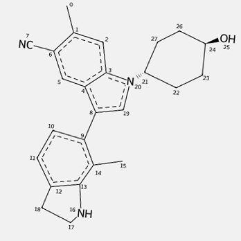 Cc1cc2c(cc1C#N)c(-c1ccc3c(c1C)NCC3)cn2[C@H]1CC[C@H](O)CC1